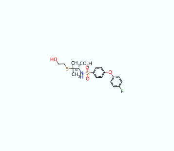 CC(C)(SCCO)[C@@H](NS(=O)(=O)c1ccc(Oc2ccc(F)cc2)cc1)C(=O)O